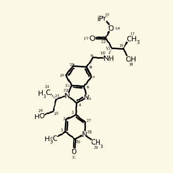 Cc1cc(-c2nc3cc(CN[C@H](C(=O)OC(C)C)[C@@H](C)O)ccc3n2[C@@H](C)CO)cn(C)c1=O